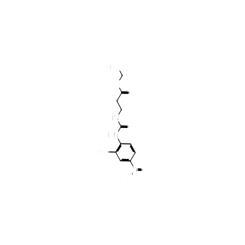 CCOC(=O)CCNC(=O)Nc1ccc([N+](=O)[O-])cc1O